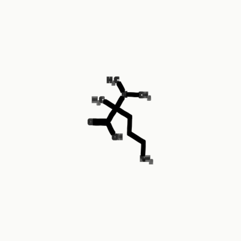 CN(C)C(C)(CCCN)C(=O)O